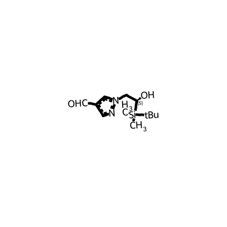 CC(C)(C)[Si](C)(C)[C@H](O)Cn1cc(C=O)cn1